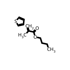 C=C(C)C(=O)OCCCC.c1ccsc1